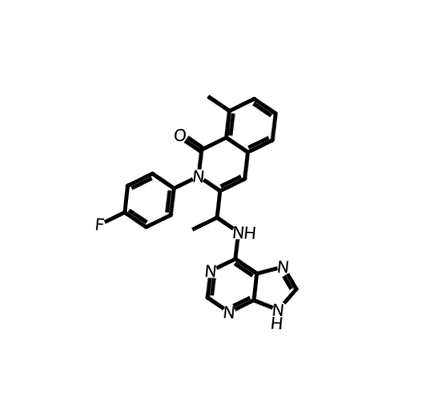 Cc1cccc2cc(C(C)Nc3ncnc4[nH]cnc34)n(-c3ccc(F)cc3)c(=O)c12